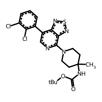 CC1(NC(=O)OC(C)(C)C)CCN(c2ncc(-c3cccc(Cl)c3Cl)c3nsnc23)CC1